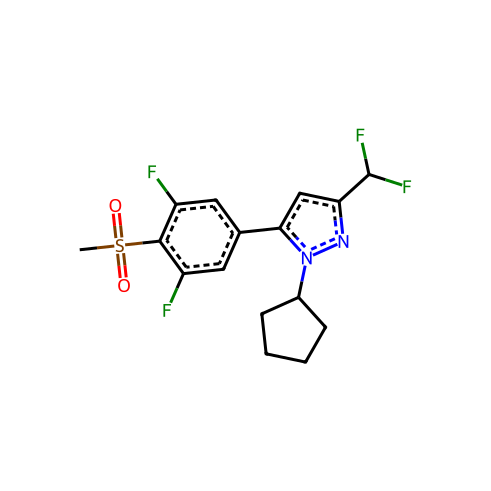 CS(=O)(=O)c1c(F)cc(-c2cc(C(F)F)nn2C2CCCC2)cc1F